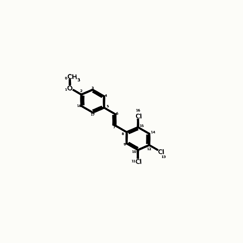 COc1ccc(/C=C/c2cc(Cl)c(Cl)cc2Cl)cc1